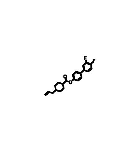 C=CCC1CCC(C(=O)Oc2ccc(-c3ccc(F)c(F)c3)cc2)CC1